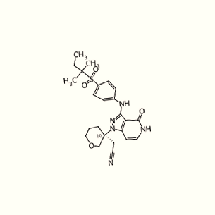 CCC(C)(C)S(=O)(=O)c1ccc(Nc2nn([C@]3(CC#N)CCCOC3)c3cc[nH]c(=O)c23)cc1